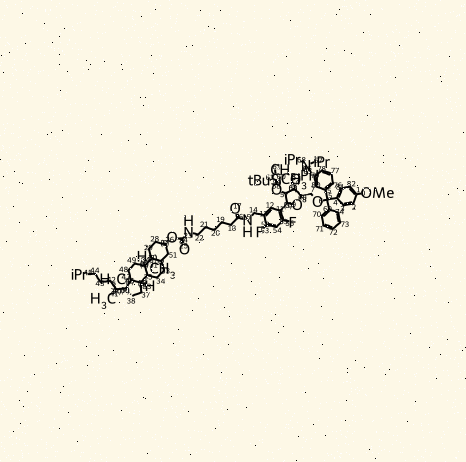 COc1ccc(C(OC[C@H]2O[C@@H](c3cc(CNC(=O)CCCCCNC(=O)O[C@H]4CC[C@@]5(C)C(CCC6[C@@H]7CC[C@H]([C@H](C)CCCC(C)C)[C@@]7(C)CC[C@@H]65)C4)c(F)cc3F)C(O[Si](C)(C)C(C)(C)C)[C@H]2OPN(C(C)C)C(C)C)(c2ccccc2)c2ccccc2)cc1